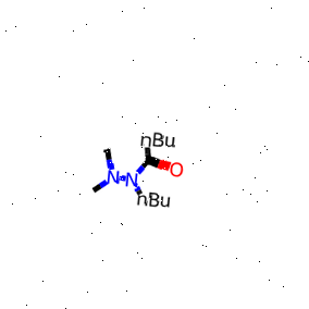 [CH2]CCCC(=O)N(CCCC)N(C)C